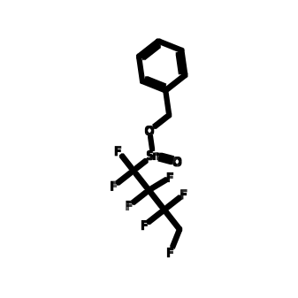 [O]=[Sn]([O]Cc1ccccc1)[C](F)(F)C(F)(F)C(F)(F)CF